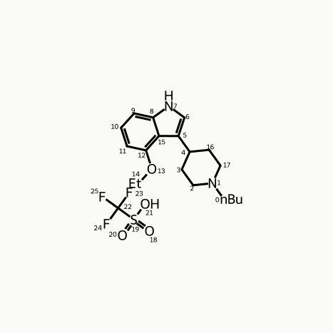 CCCCN1CCC(c2c[nH]c3cccc(OCC)c23)CC1.O=S(=O)(O)C(F)(F)F